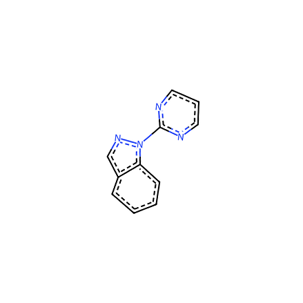 c1cnc(-n2ncc3ccccc32)nc1